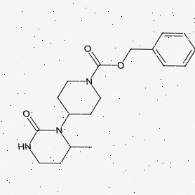 CC1CCNC(=O)N1C1CCN(C(=O)OCc2ccccc2)CC1